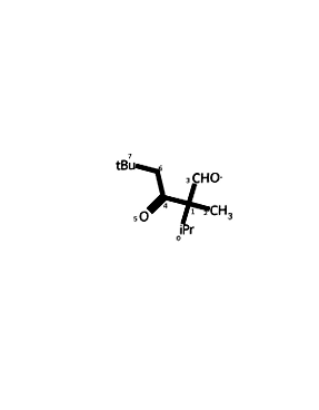 CC(C)C(C)([C]=O)C(=O)CC(C)(C)C